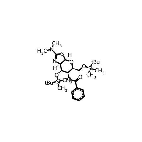 CN(C)C1=N[C@@H]2[C@H](O[Si](C)(C)C(C)(C)C)[C@H](OC(=O)c3ccccc3)[C@H](CO[Si](C)(C)C(C)(C)C)O[C@@H]2S1